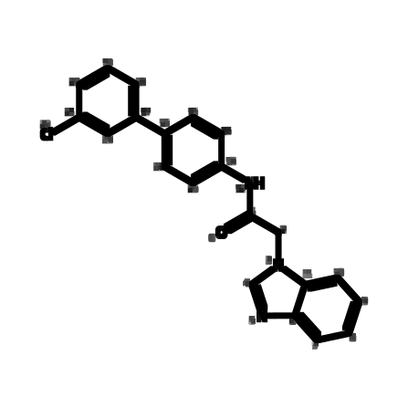 O=C(Cn1cnc2ccccc21)Nc1ccc(-c2cccc(Cl)c2)cc1